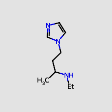 CCNC(C)CCn1ccnc1